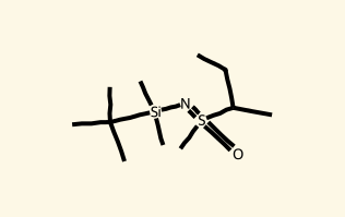 CCC(C)S(C)(=O)=N[Si](C)(C)C(C)(C)C